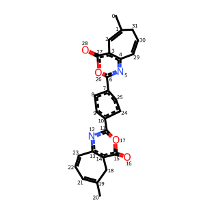 CC1=Cc2c(nc(-c3ccc(-c4nc5c(c(=O)o4)CC(C)=CC=C5)cc3)oc2=O)C=CC1